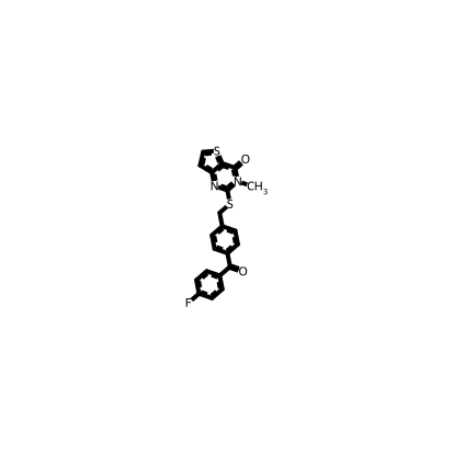 Cn1c(SCc2ccc(C(=O)c3ccc(F)cc3)cc2)nc2ccsc2c1=O